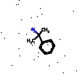 CC(C)([N])c1ccccc1